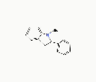 CCC(C)N1c2ccccc2CC1c1ccccc1